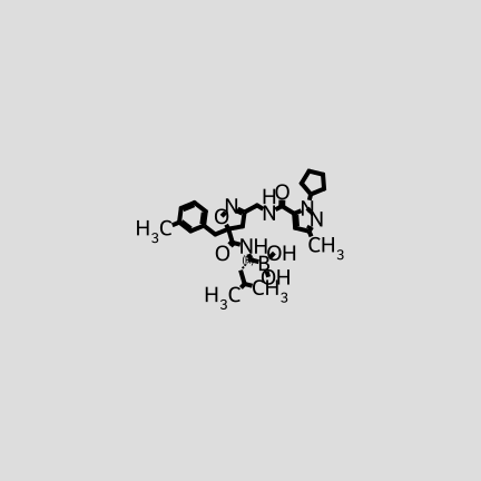 Cc1cccc(CC2(C(=O)N[C@@H](CC(C)C)B(O)O)CC(CNC(=O)c3cc(C)nn3C3CCCC3)=NO2)c1